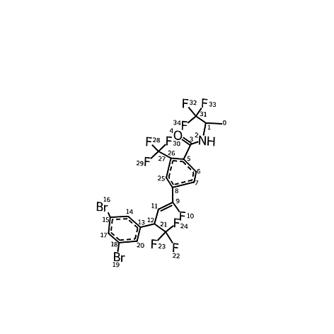 CC(NC(=O)c1ccc(C(F)=CC(c2cc(Br)cc(Br)c2)C(F)(F)F)cc1C(F)(F)F)C(F)(F)F